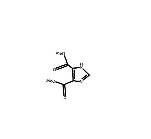 COC(=O)c1n[c][nH]c1C(=O)OC